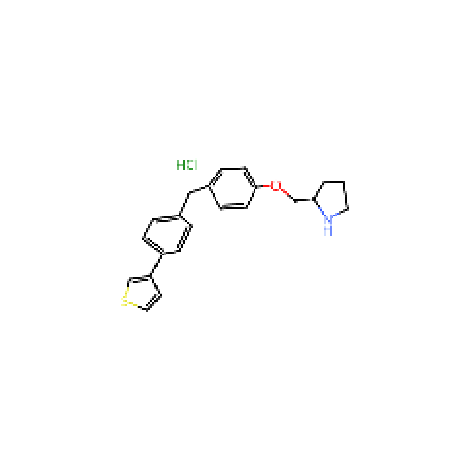 Cl.c1cc(-c2ccc(Cc3ccc(OC[C@H]4CCCN4)cc3)cc2)cs1